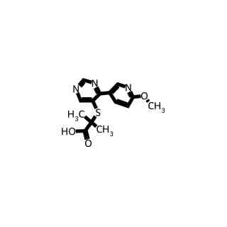 COc1ccc(-c2ncncc2SC(C)(C)C(=O)O)cn1